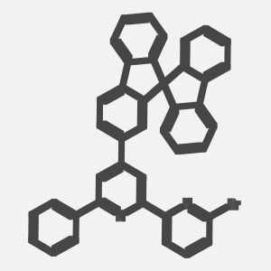 Brc1cccc(-c2cc(-c3ccc4c(c3)C3(c5ccccc5-c5ccccc53)c3ccccc3-4)cc(-c3ccccc3)n2)n1